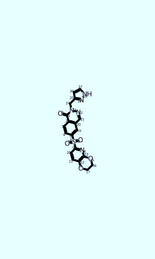 O=c1c2ccc(S(=O)(=O)c3ccc4c(n3)OCCO4)cc2cnn1Cc1cc[nH]n1